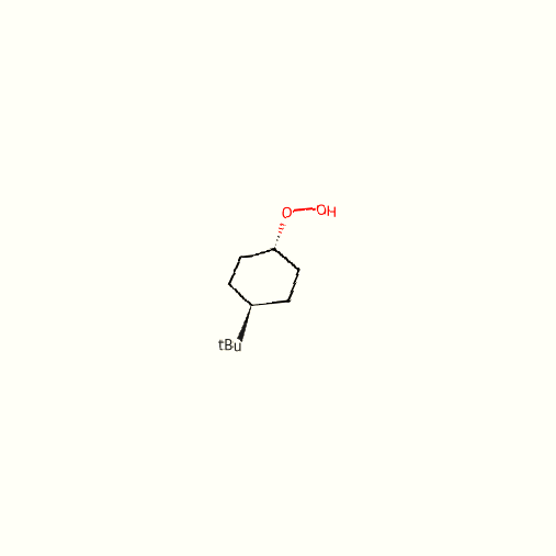 CC(C)(C)[C@H]1CC[C@H](OO)CC1